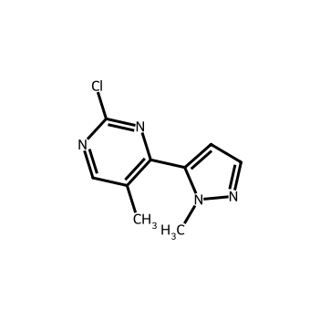 Cc1cnc(Cl)nc1-c1ccnn1C